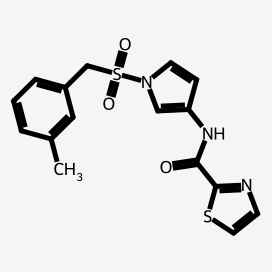 Cc1cccc(CS(=O)(=O)n2ccc(NC(=O)c3nccs3)c2)c1